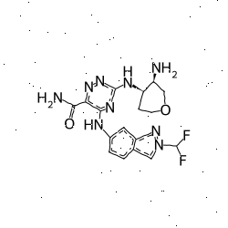 NC(=O)c1nnc(N[C@@H]2CCOC[C@@H]2N)nc1Nc1ccc2cn(C(F)F)nc2c1